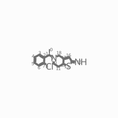 C[C@H](c1ccccc1Cl)N1CCC2SC(=N)C=C2C1